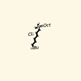 CCCCCCCC[N+](C)(C)CCCCCCC(C)CC.[Cl-]